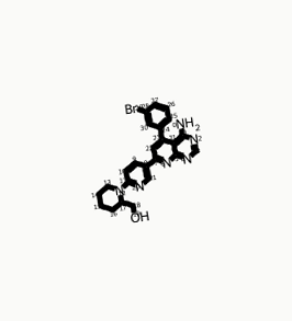 Nc1ncnc2nc(-c3ccc(N4CCCCC4CO)nc3)cc(-c3cccc(Br)c3)c12